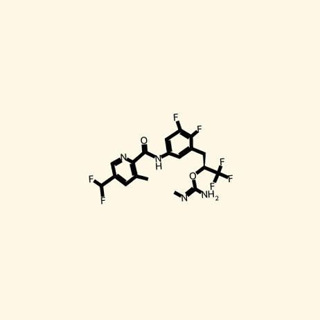 C/N=C(/N)O[C@@H](Cc1cc(NC(=O)c2ncc(C(F)F)cc2C)cc(F)c1F)C(F)(F)F